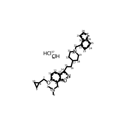 CN(C)Cc1c(OCC2CC2)ccc2c(CCC3CCN(Cc4cccc5sccc45)CC3)noc12.Cl.Cl